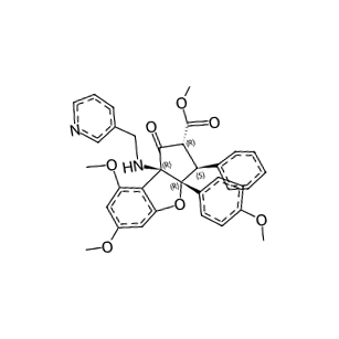 COC(=O)[C@H]1C(=O)[C@@]2(NCc3cccnc3)c3c(OC)cc(OC)cc3O[C@@]2(c2ccc(OC)cc2)[C@@H]1c1ccccc1